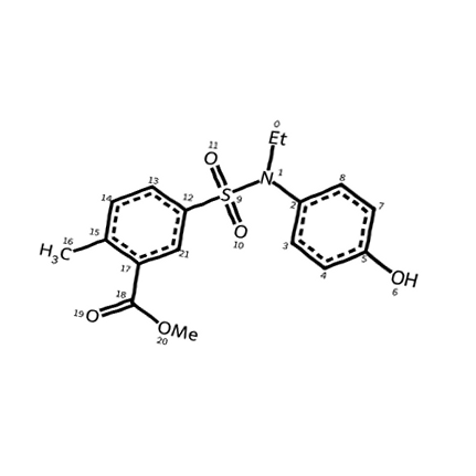 CCN(c1ccc(O)cc1)S(=O)(=O)c1ccc(C)c(C(=O)OC)c1